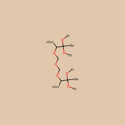 CCCCCCCCC(OCOCOC(CCCCCCCC)C(CCCC)(OCC)OCC)C(CCCC)(OCC)OCC